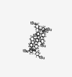 CC(C)(C)C1=CCC(N(c2ccc(C(C)(C)C)cc2)C2CCC3=C(C2)C2(c4cc5c(cc43)C3(C4=C(CCC(C(C)(C)C)=C4)C4CCC(C(C)(C)C)=CC43)c3cc(N(C4=CCC(C(C)(C)C)C=C4)c4ccc(C(C)(C)C)cc4)ccc3-5)c3cc(C(C)(C)C)ccc3C3CCC(C(C)(C)C)=CC32)C=C1